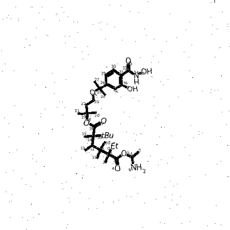 CCC(C)(C(=O)OC(C)N)C(C)(C)C(C)C(C)(C(=O)OC(C)(C)CCOC(C)(C)c1ccc(C(=O)NO)c(O)c1)C(C)(C)C